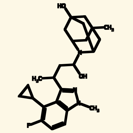 CC(CC(O)N1C2CC3(C)CC1CC(O)(C2)C3)c1nn(C)c2ccc(F)c(C3CC3)c12